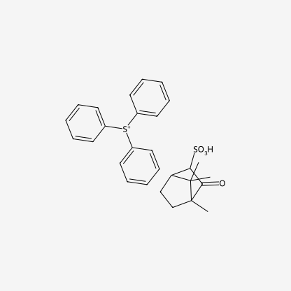 CC12CCC(C(S(=O)(=O)O)C1=O)C2(C)C.c1ccc([S+](c2ccccc2)c2ccccc2)cc1